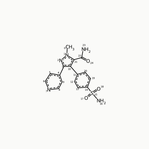 Cn1nc(-c2ccncc2)c(-c2ccc(S(N)(=O)=O)cc2)c1C(N)=O